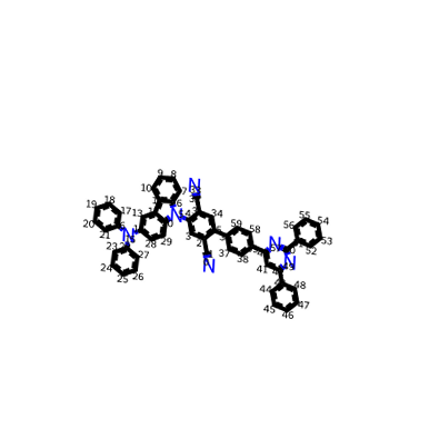 N#Cc1cc(-n2c3ccccc3c3cc(N(c4ccccc4)c4ccccc4)ccc32)c(C#N)cc1-c1ccc(-c2cc(-c3ccccc3)nc(-c3ccccc3)n2)cc1